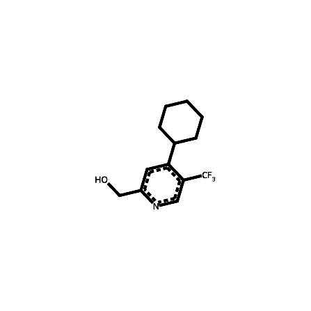 OCc1cc(C2CCCCC2)c(C(F)(F)F)cn1